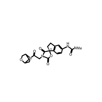 CNC(=O)Nc1ccc2c(c1)CC[C@]21OC(=O)N(CC(=O)N2CC3CC2CO3)C1=O